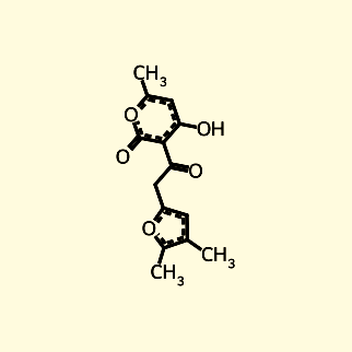 Cc1cc(O)c(C(=O)Cc2cc(C)c(C)o2)c(=O)o1